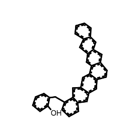 Oc1ccccc1Cc1cccc2cc3cc4ccc5cc6cc7ccccc7cc6cc5c4cc3cc12